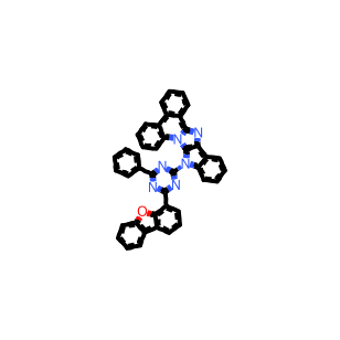 c1ccc(-c2nc(-c3cccc4c3oc3ccccc34)nc(-n3c4ccccc4c4nc5c6ccccc6c6ccccc6n5c43)n2)cc1